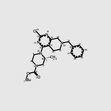 C[C@@H]1CN(C(=O)OC(C)(C)C)CCN1c1nc(Cl)nc2c1CCN(Cc1ccccc1)C2